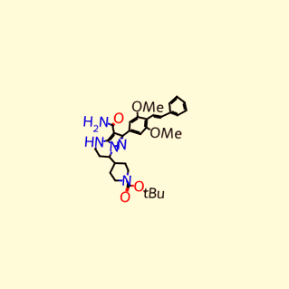 COc1cc(-c2nn3c(c2C(N)=O)NCCC3C2CCN(C(=O)OC(C)(C)C)CC2)cc(OC)c1C=Cc1ccccc1